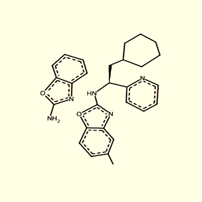 Cc1ccc2oc(N[C@@H](CC3CCCCC3)c3ccccn3)nc2c1.Nc1nc2ccccc2o1